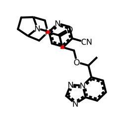 CC(OCCC(=O)N1CC2CCC(C1)N2c1ccc(C#N)cn1)c1cccc2ncnn12